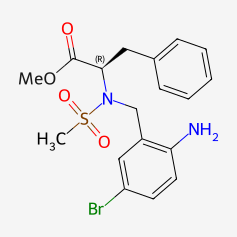 COC(=O)[C@@H](Cc1ccccc1)N(Cc1cc(Br)ccc1N)S(C)(=O)=O